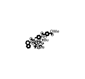 COC(=O)c1ccc(C(=O)Nc2ccc(C[C@H](NC(=O)[C@@H](NC(=O)[C@H](C)N(C)C(=O)OC(C)(C)C)C(C)(C)SC)C(=O)N[C@@H]3CCCc4ccccc43)cc2)cc1